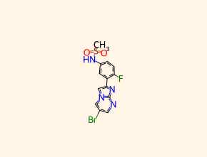 CS(=O)(=O)Nc1ccc(F)c(-c2cn3cc(Br)cnc3n2)c1